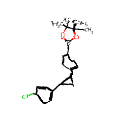 CC1(C)OB(c2ccc(C3CC3c3ccc(Cl)cc3)cc2)OC1(C)C